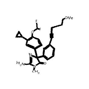 COCCCC#Cc1cccc(C2(c3ccc(OC(F)F)c(C4CC4)c3)N=C(N)N(C)C2=O)c1